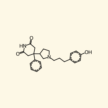 O=C1CC(c2ccccc2)(C2CCN(CCCc3ccc(O)cc3)C2)CC(=O)N1